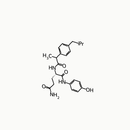 CC(C)Cc1ccc(C(C)C(=O)N[C@@H](CCC(N)=O)C(=O)Nc2ccc(O)cc2)cc1